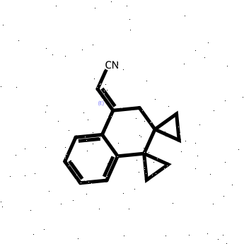 N#C/C=C1\CC2(CC2)C2(CC2)c2ccccc21